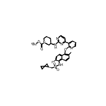 Cc1ccc2c(NS(=O)(=O)C[C@@H]3CC34CC4)c(F)ccc2c1Oc1ncccc1-c1ccnc(NC2CCCN(C(=O)OC(C)(C)C)C2)n1